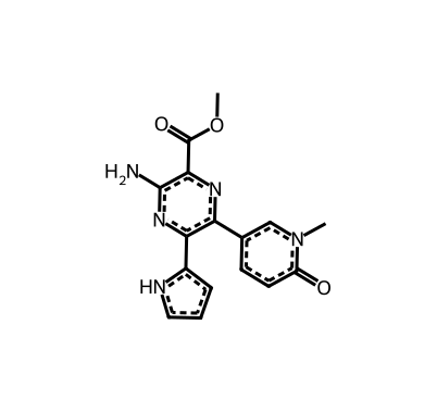 COC(=O)c1nc(-c2ccc(=O)n(C)c2)c(-c2ccc[nH]2)nc1N